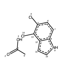 CC(=O)O.Clc1ccc2[nH]ccc2c1Cl